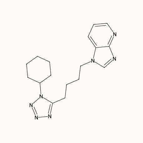 c1cnc2ncn(CCCCc3nnnn3C3CCCCC3)c2c1